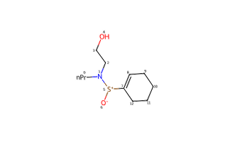 CCCN(CCO)[S+]([O-])C1=CCCCC1